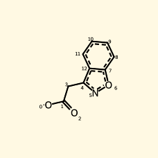 [O]C(=O)Cc1noc2ccccc12